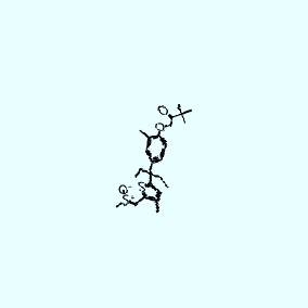 CCC(CC)(c1ccc(OCC(=O)C(C)(C)C)c(C)c1)c1cc(C)c(C[S+](C)[O-])s1